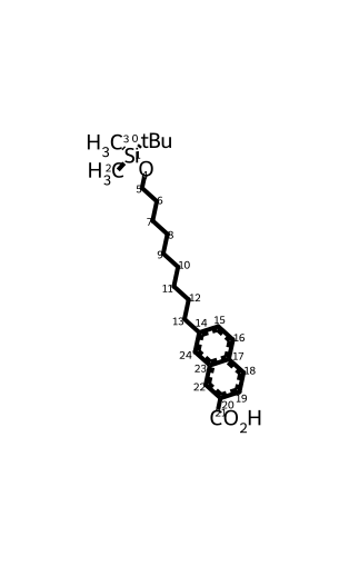 CC(C)(C)[Si](C)(C)OCCCCCCCCCc1ccc2ccc(C(=O)O)cc2c1